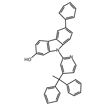 CC(c1ccccc1)(c1ccccc1)c1ccnc(-n2c3ccc(-c4ccccc4)cc3c3ccc(O)cc32)c1